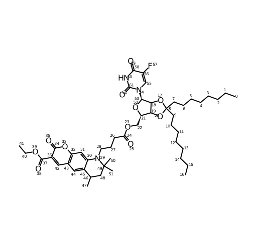 CCCCCCCCC1(CCCCCCCC)OC2C(O1)[C@@H](COC(=O)CCCN1c3cc4oc(=O)c(C(=O)OCC)cc4cc3C(C)CC1(C)C)O[C@H]2n1cc(F)c(=O)[nH]c1=O